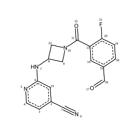 N#Cc1ccnc(NC2CN(C(=O)c3cc(C=O)ccc3F)C2)c1